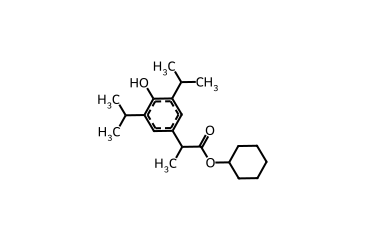 CC(C)c1cc(C(C)C(=O)OC2CCCCC2)cc(C(C)C)c1O